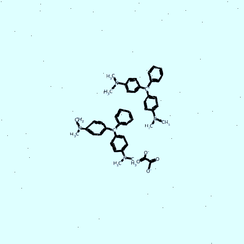 CN(C)c1ccc([C+](c2ccccc2)c2ccc(N(C)C)cc2)cc1.CN(C)c1ccc([C+](c2ccccc2)c2ccc(N(C)C)cc2)cc1.O=C([O-])C(=O)[O-]